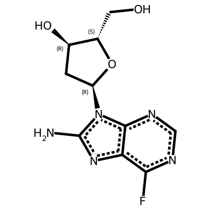 Nc1nc2c(F)ncnc2n1[C@H]1C[C@@H](O)[C@H](CO)O1